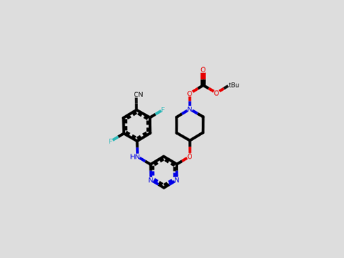 CC(C)(C)OC(=O)ON1CCC(Oc2cc(Nc3cc(F)c(C#N)cc3F)ncn2)CC1